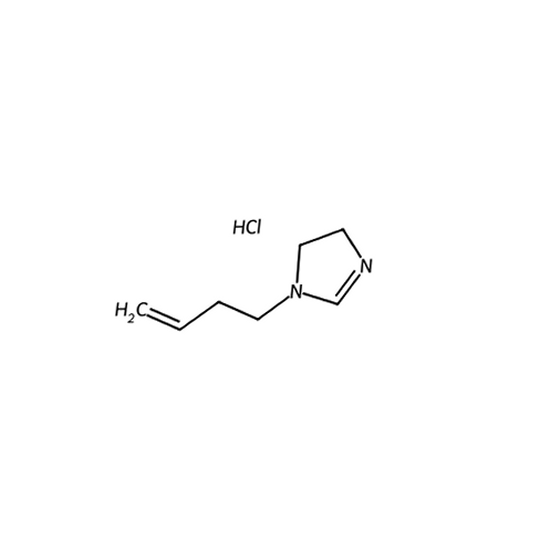 C=CCCN1C=NCC1.Cl